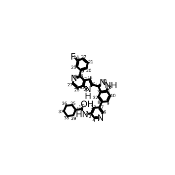 OC(Nc1cncc(-c2ccc3[nH]nc(-c4cc5c(-c6cccc(F)c6)nccc5[nH]4)c3c2)c1)C1CCCCC1